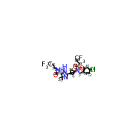 CC1(C)N=C(C23CC(N(Cc4ccc(Cl)cc4)S(=O)(=O)CCC(F)(F)F)(C2)C3)N[C@H]1C(=O)NCCC(F)(F)F